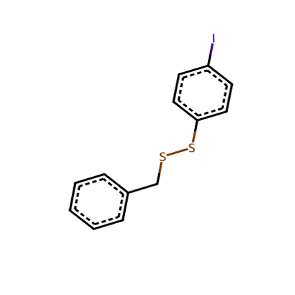 Ic1ccc(SSCc2ccccc2)cc1